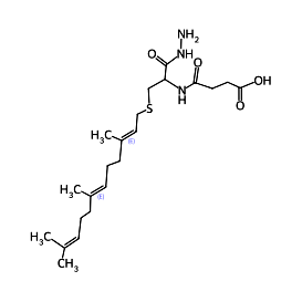 CC(C)=CCC/C(C)=C/CC/C(C)=C/CSCC(NC(=O)CCC(=O)O)C(=O)NN